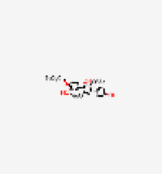 CCOC(=O)COc1ccc(-c2c(OC)cc(-c3ccc(O)cc3)c(OC)c2O)cc1O